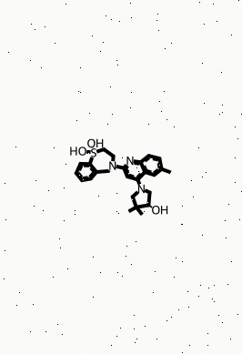 Cc1ccc2nc(N3CCS(O)(O)c4ccccc4C3)cc(N3C[C@H](O)C(C)(C)C3)c2c1